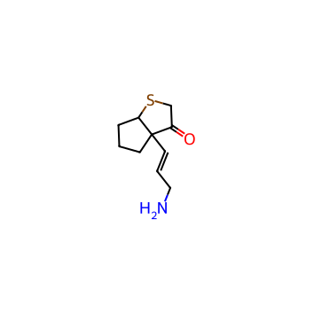 NCC=CC12CCCC1SCC2=O